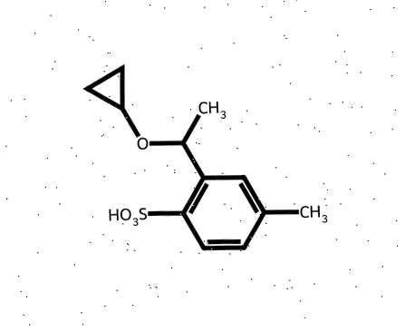 Cc1ccc(S(=O)(=O)O)c(C(C)OC2CC2)c1